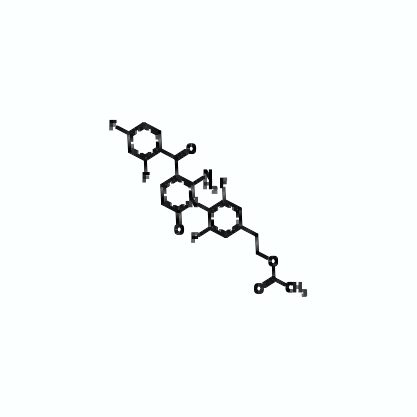 CC(=O)OCCc1cc(F)c(-n2c(N)c(C(=O)c3ccc(F)cc3F)ccc2=O)c(F)c1